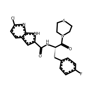 O=C(N[C@@H](Cc1ccc(F)cc1)C(=O)N1CCSCC1)c1cc2ccc(Cl)nc2[nH]1